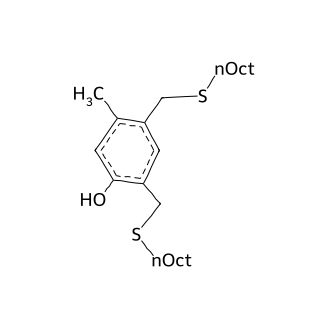 CCCCCCCCSCc1cc(CSCCCCCCCC)c(O)cc1C